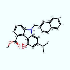 COC(=O)c1cccc2c1c1c(O)cc(C(C)C)cc1n2Cc1ccc2ccccc2c1